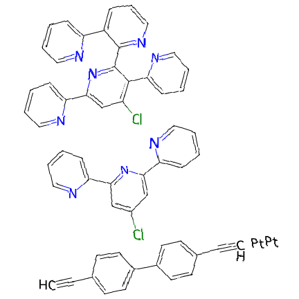 C#Cc1ccc(-c2ccc(C#C)cc2)cc1.Clc1cc(-c2ccccn2)nc(-c2ccccn2)c1.Clc1cc(-c2ccccn2)nc(-c2ncccc2-c2ccccn2)c1-c1ccccn1.[Pt].[Pt]